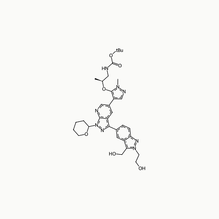 C[C@@H](CNC(=O)OC(C)(C)C)Oc1c(-c2cnc3c(c2)c(-c2ccc4nn(CCO)c(CO)c4c2)nn3C2CCCCO2)cnn1C